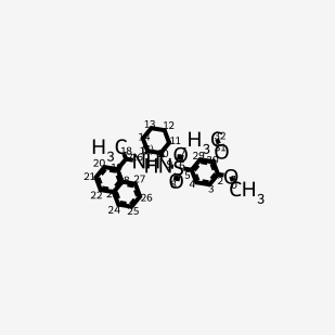 COc1ccc(S(=O)(=O)NC2CCCC[C@@H]2NC(C)c2cccc3ccccc23)cc1OC